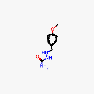 COc1ccc(CNNC(N)=O)cc1